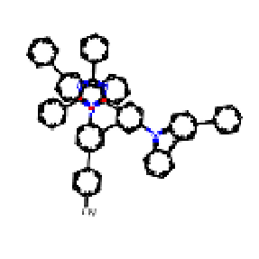 N#Cc1ccc(-c2ccc(-n3c4ccccc4c4cc(-c5ccccc5)ccc43)c(-c3cc(-n4c5ccccc5c5cc(-c6ccccc6)ccc54)ccc3-c3nc(-c4ccccc4)nc(-c4ccccc4)n3)c2)cc1